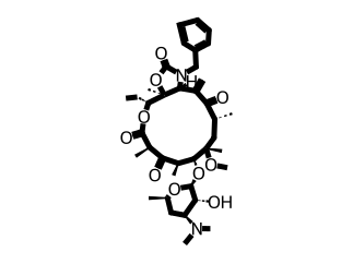 C=C1C(=O)[C@H](C)C[C@](C)(OC)[C@H](O[C@@H]2O[C@H](C)C[C@H](N(C)C)[C@H]2O)[C@@H](C)C(=O)[C@@H](C)C(=O)O[C@H](CC)[C@@]2(C)OC(=O)N(Cc3ccccc3)[C@H]12